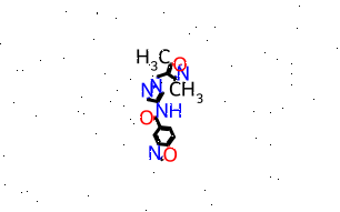 Cc1noc(C)c1Cn1cc(NC(=O)c2ccc3ocnc3c2)cn1